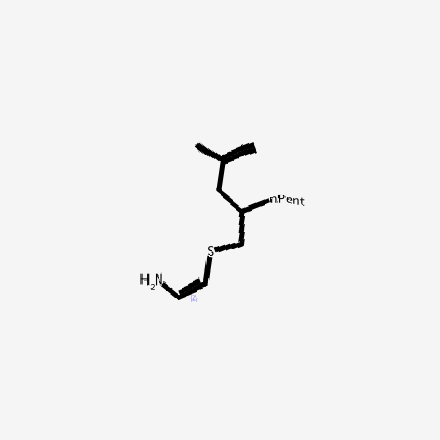 C=C(C)CC(CCCCC)CS/C=C\N